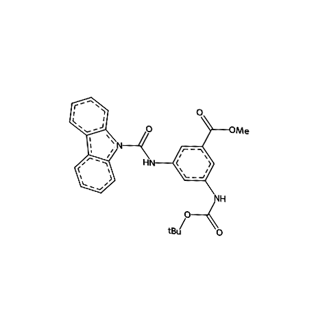 COC(=O)c1cc(NC(=O)OC(C)(C)C)cc(NC(=O)n2c3ccccc3c3ccccc32)c1